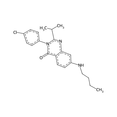 CCCCNc1ccc2c(=O)n(-c3ccc(Cl)cc3)c(C(C)C)nc2c1